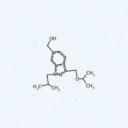 CC(C)Cn1nc(COC(C)C)c2ccc(CO)cc21